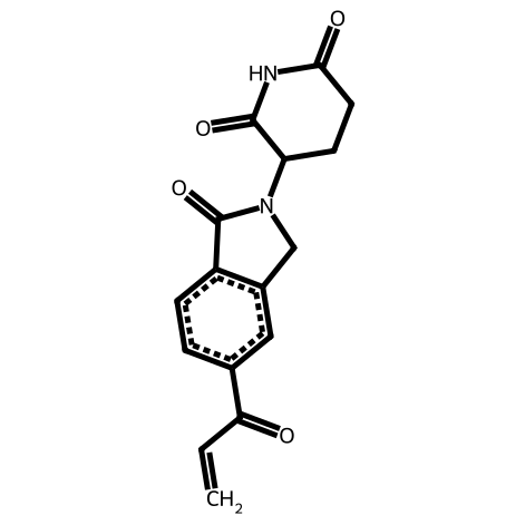 C=CC(=O)c1ccc2c(c1)CN(C1CCC(=O)NC1=O)C2=O